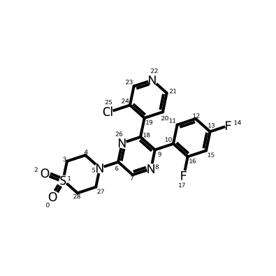 O=S1(=O)CCN(c2cnc(-c3ccc(F)cc3F)c(-c3ccncc3Cl)n2)CC1